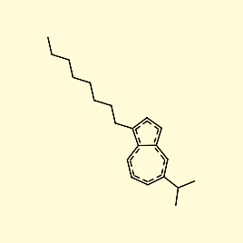 CCCCCCCCc1ccc2cc(C(C)C)cccc1-2